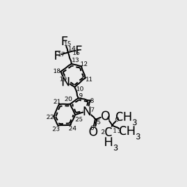 CC(C)(C)OC(=O)n1cc(-c2ccc(C(F)(F)F)cn2)c2ccccc21